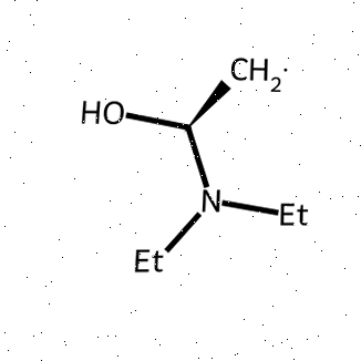 [CH2][C@H](O)N(CC)CC